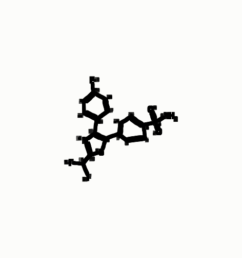 NS(=O)(=O)c1ccc(-c2sc(C(F)F)nc2-c2ccc(F)cc2)cc1